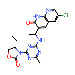 CC[C@H]1COC(=O)N1c1nc(C)nc(NC(C)c2cc3cc(Cl)cnc3[nH]c2=O)n1